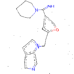 N=C(c1coc(Cn2ccc3ccncc32)c1)N1CCCCC1